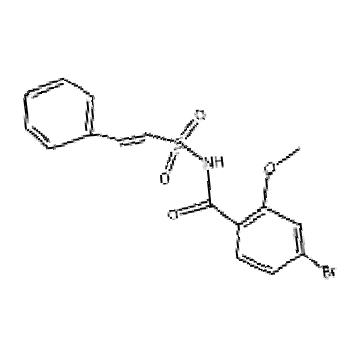 COc1cc(Br)ccc1C(=O)NS(=O)(=O)C=Cc1ccccc1